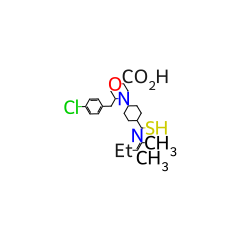 CC/C(C)=C(C)\N=C(/S)C1CCC(N2CC(C(=O)O)OCC2Cc2ccc(Cl)cc2)CC1